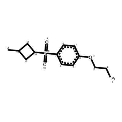 CC(C)CCOc1ccc(S(=O)(=O)C2CC(C)C2)cc1